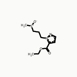 CCOC(=O)c1ccnn1CCC[S+](C)[O-]